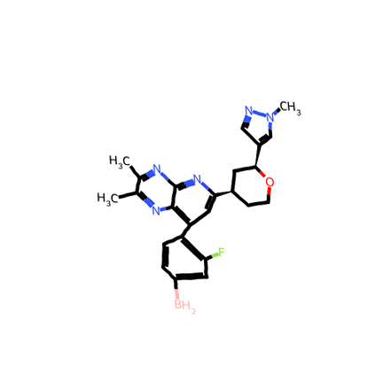 Bc1ccc(-c2cc([C@@H]3CCO[C@H](c4cnn(C)c4)C3)nc3nc(C)c(C)nc23)c(F)c1